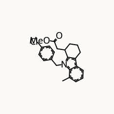 COC(=O)CC1CCCc2c1n(Cc1ccc(Cl)cc1)c1c(C)cccc21